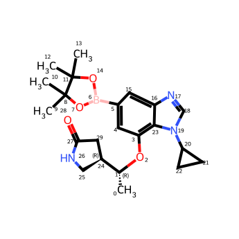 C[C@@H](Oc1cc(B2OC(C)(C)C(C)(C)O2)cc2ncn(C3CC3)c12)[C@H]1CNC(=O)C1